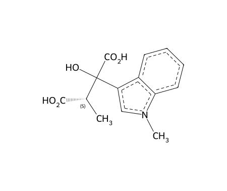 C[C@H](C(=O)O)C(O)(C(=O)O)c1cn(C)c2ccccc12